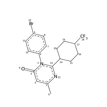 Cc1cc(=O)n(-c2ccc(Br)cc2)c(C2CCC(C(F)(F)F)CC2)n1